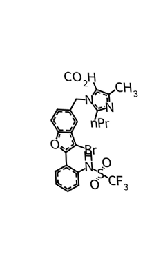 CCCc1nc(C)c(C(=O)O)n1Cc1ccc2oc(-c3ccccc3NS(=O)(=O)C(F)(F)F)c(Br)c2c1